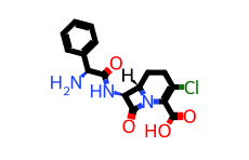 N[C@H](C(=O)N[C@@H]1C(=O)N2C(C(=O)O)=C(Cl)CC[C@H]12)c1ccccc1